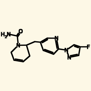 NC(=O)N1CC=CCC1Cc1ccc(-n2cc(F)cn2)nc1